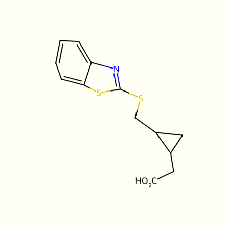 O=C(O)CC1CC1CSc1nc2ccccc2s1